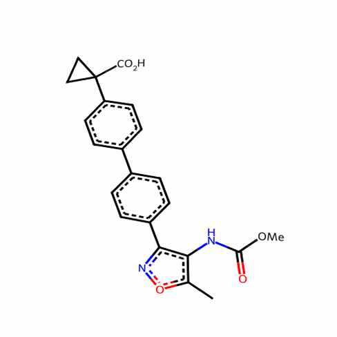 COC(=O)Nc1c(-c2ccc(-c3ccc(C4(C(=O)O)CC4)cc3)cc2)noc1C